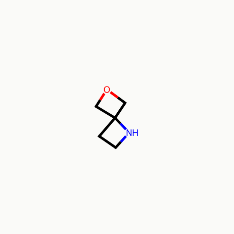 C1CC2(COC2)N1